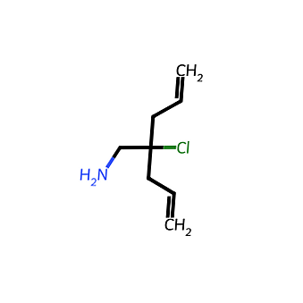 C=CCC(Cl)(CN)CC=C